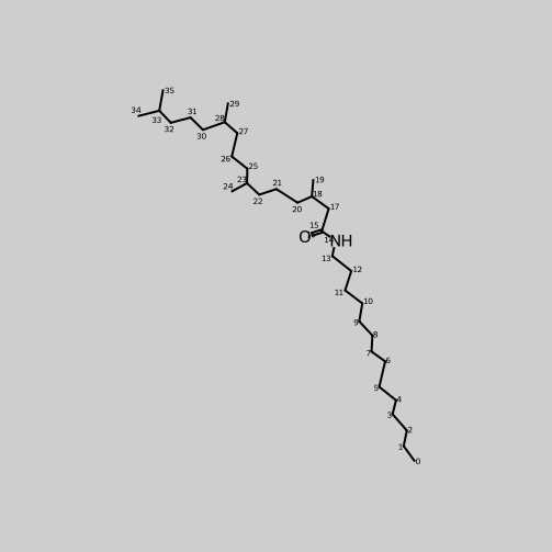 CCCCCCCCCCCCCCNC(=O)CC(C)CCCC(C)CCCC(C)CCCC(C)C